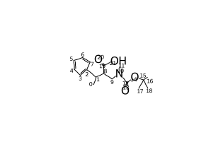 CC(c1ccccc1)C(CN(C)C(=O)OC(C)(C)C)C(=O)O